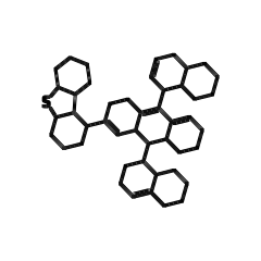 C1=CC(C2=C3CCC(C4CCCC5SC6CCCCC6C54)=CC3C(C3CCC=C4CCCCC43)C3CCCC=C23)C2CCCCC2C1